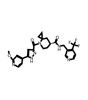 COc1cc(-c2cc(C(=O)N3CC[C@H](C(=O)NCc4cnccc4C(F)(F)F)CC34CC4)n[nH]2)ccn1